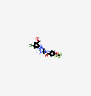 CC(N)(Cn1nc2cc(Cl)cc(C=O)c2n1)NC(=O)c1ccc(OC(F)(F)F)cc1